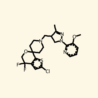 COc1cccnc1N1CC(CN2CCC3(CC2)OCC(F)(F)c2cc(Cl)sc23)C(C)=N1